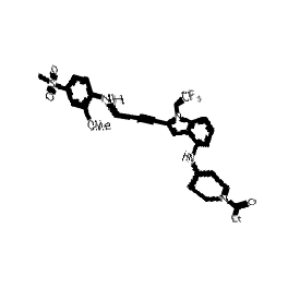 CCC(=O)N1CCC(Nc2cccc3c2cc(C#CCNc2ccc(S(C)(=O)=O)cc2OC)n3CC(F)(F)F)CC1